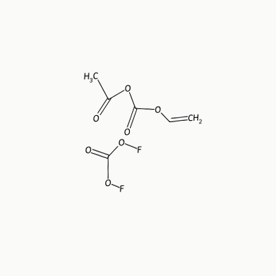 C=COC(=O)OC(C)=O.O=C(OF)OF